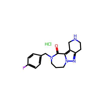 Cl.O=C1c2c3c(nn2CCCN1Cc1ccc(I)cc1)CCNC3